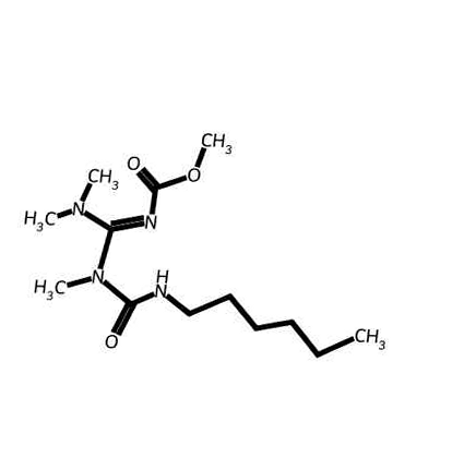 CCCCCCNC(=O)N(C)C(=NC(=O)OC)N(C)C